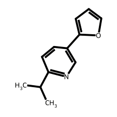 CC(C)c1ccc(-c2ccco2)cn1